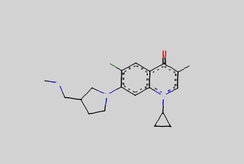 CCNCC1CCN(c2cc3c(cc2F)c(=O)c(C(=O)O)cn3C2CC2)C1.Cl